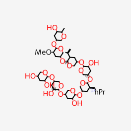 C=C(C)C1CC(OC2OC[C@@H](OC3OCC(OC4OCC(OC5OCC(OC6OCC(O)CC6O)C[C@H]5O)CC4O)C/C3=C\CCC)CC2O)CO[C@@H]1OC1COC(OC2COC(C)C(O)C2)C(OC)C1